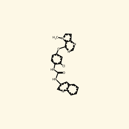 Cn1ccc2ncnc(Oc3ccc(NC(=O)Nc4cnc5ccccc5c4)c(Cl)c3)c21